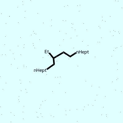 [CH2]CCCCCCCCC(CC)CCCCCCC[CH2]